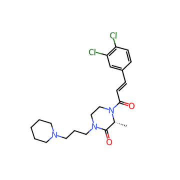 C[C@@H]1C(=O)N(CCCN2CCCCC2)CCN1C(=O)/C=C/c1ccc(Cl)c(Cl)c1